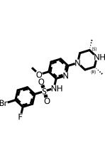 COc1ccc(N2C[C@@H](C)N[C@@H](C)C2)nc1NS(=O)(=O)c1ccc(Br)c(F)c1